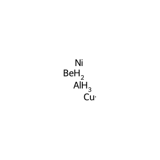 [AlH3].[BeH2].[Cu].[Ni]